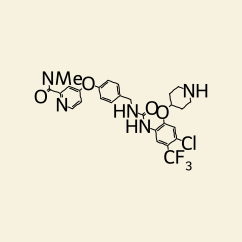 CNC(=O)c1cc(Oc2ccc(CNC(=O)Nc3cc(C(F)(F)F)c(Cl)cc3OC3CCNCC3)cc2)ccn1